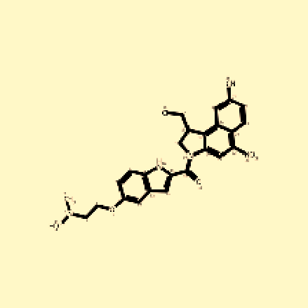 CN(C)CCOc1ccc2[nH]c(C(=O)N3CC(CCl)c4c3cc([N+](=O)[O-])c3ccc(C#N)cc43)cc2c1